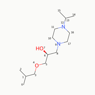 CC(C)COC[C@@H](O)CN1CCN(C(C)C)CC1